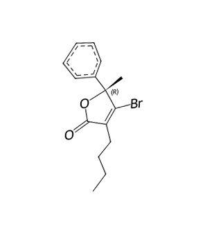 CCCCC1=C(Br)[C@@](C)(c2ccccc2)OC1=O